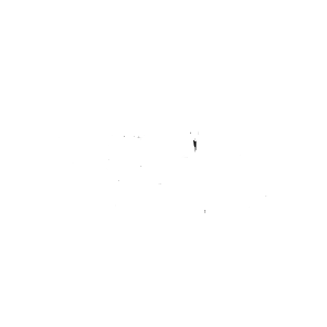 O=C1C2=C(SCCS2)C(=O)N1[C@@H](CO)[C@@H](O)c1ccccc1